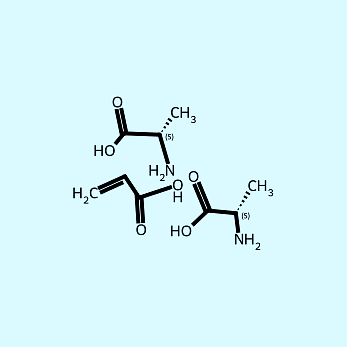 C=CC(=O)O.C[C@H](N)C(=O)O.C[C@H](N)C(=O)O